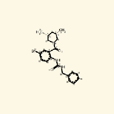 C[C@@H]1C[C@H](C)CN(C(=O)c2cc(Br)ccc2NC(=O)NCc2ccccc2)C1